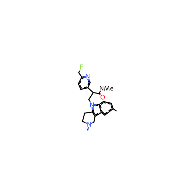 CNC(=O)C(Cn1c2c(c3cc(C)ccc31)CN(C)CC2)c1ccc(CF)nc1